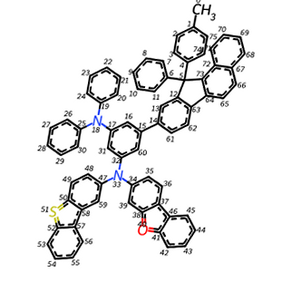 Cc1ccc(C2(c3ccccc3)c3cc(-c4cc(N(c5ccccc5)c5ccccc5)cc(N(c5ccc6c(c5)oc5ccccc56)c5ccc6sc7ccccc7c6c5)c4)ccc3-c3ccc4ccccc4c32)cc1